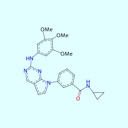 COc1cc(Nc2ncc3ccn(-c4cccc(C(=O)NC5CC5)c4)c3n2)cc(OC)c1OC